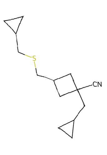 N#CC1(CC2CC2)CC(CSCC2CC2)C1